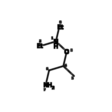 CC[SiH](CC)OC(C)CN